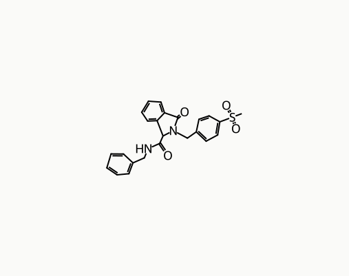 CS(=O)(=O)c1ccc(CN2C(=O)c3ccccc3C2C(=O)NCc2ccccc2)cc1